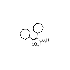 O=C(O)C(=C(C(=O)O)C1CCCCCC1)C1CCCCCC1